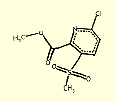 COC(=O)c1nc(Cl)ccc1S(C)(=O)=O